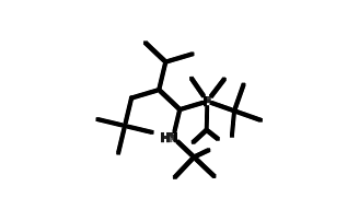 CC(C)C(CC(C)(C)C)C(NC(C)(C)C)P(C)(C)(C(C)C)C(C)(C)C